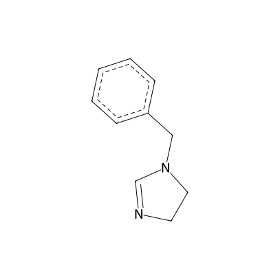 C1=NCCN1Cc1ccccc1